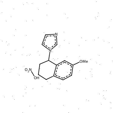 COc1ccc2c(c1)C(n1ccnc1)CCC2.O=[N+]([O-])O